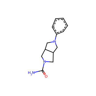 NC(=O)N1CC2CN(c3ccccc3)CC2C1